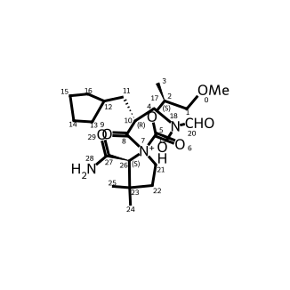 COC[C@H](C)OC(=O)[N+]1(C(=O)[C@H](CC2CCCC2)CN(O)C=O)CCC(C)(C)[C@H]1C(N)=O